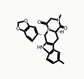 Cc1ccc2[nH]c3c(c2c1)C[C@@H]1C(=O)N(C)CC(=O)N1[C@H]3c1ccc2c(c1)OCO2